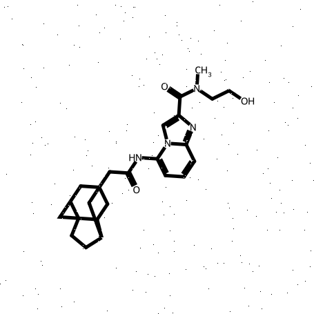 CN(CCO)C(=O)c1cn2c(NC(=O)CC34CC5CCC6(CC6C3)C5C4)cccc2n1